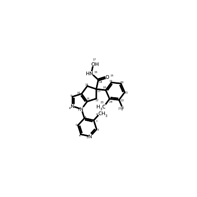 Cc1cnccc1-n1ncc2c1CC(C(=O)NO)(c1cccc(F)c1C)C2